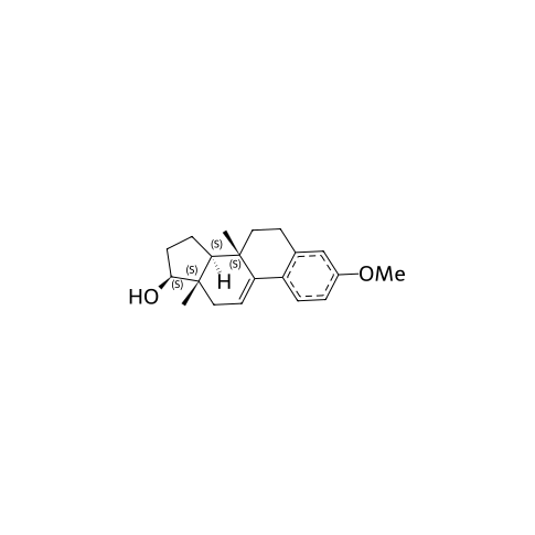 COc1ccc2c(c1)CC[C@]1(C)C2=CC[C@@]2(C)[C@H]1CC[C@@H]2O